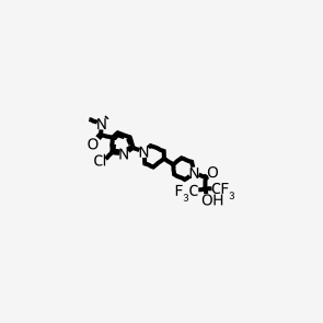 CN(C)C(=O)c1ccc(N2CCC(C3CCN(C(=O)C(O)(C(F)(F)F)C(F)(F)F)CC3)CC2)nc1Cl